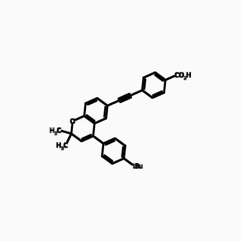 CC1(C)C=C(c2ccc(C(C)(C)C)cc2)c2cc(C#Cc3ccc(C(=O)O)cc3)ccc2O1